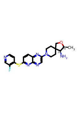 C[C@@H]1OCC2(CCN(c3cnc4nc(Sc5ccncc5F)ccc4n3)CC2)[C@@H]1N